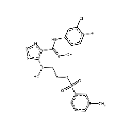 Cc1cccc(S(=O)(=O)OCCN(O)c2nonc2C(=NO)Nc2ccc(F)c(Cl)c2)c1